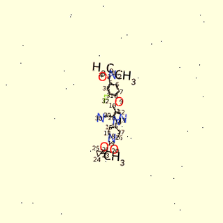 CN(C)C(=O)c1ccc(OCc2cnn(C3CCN(C(=O)OC4(C)CC4)CC3)c2C#N)c(F)c1